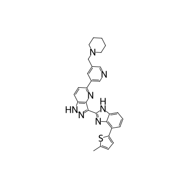 Cc1ccc(-c2cccc3[nH]c(-c4n[nH]c5ccc(-c6cncc(CN7CCCCC7)c6)nc45)nc23)s1